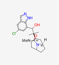 CNC(=O)N1C2CC[C@@H]1C[C@H](C(C)(C)C(O)c1cc(Cl)cc3cn[nH]c13)CC2